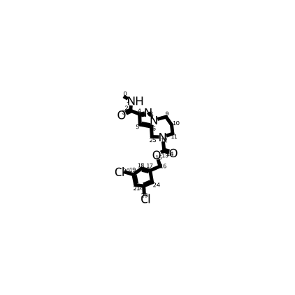 CNC(=O)c1cc2n(n1)CCCN(C(=O)OCc1cc(Cl)cc(Cl)c1)C2